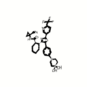 N#CC1(NC(=O)[C@@H]2CCCC[C@H]2c2nc(-c3ccc(C(F)(F)F)nc3)sc2-c2ccc(N3CCS(O)(O)CC3)cc2)CC1